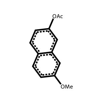 COc1ccc2ccc(OC(C)=O)cc2c1